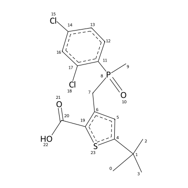 CC(C)(C)c1cc(CP(C)(=O)c2ccc(Cl)cc2Cl)c(C(=O)O)s1